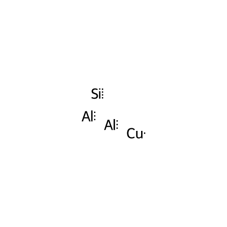 [Al].[Al].[Cu].[Si]